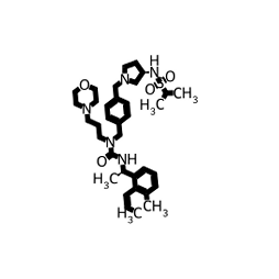 C/C=C\c1c(C)cccc1[C@H](C)NC(=O)N(CCCN1CCOCC1)Cc1ccc(CN2CC[C@H](NS(=O)(=O)C(C)C)C2)cc1